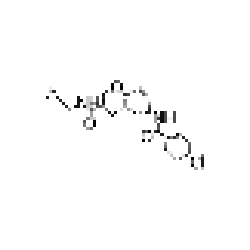 O=C(Nc1ccc2c(c1)CC(C(=O)NCC1CC1)CO2)c1ccc(Cl)cc1